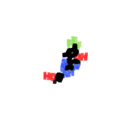 Cc1cc(C(F)(F)F)cc(O)c1-c1nnc(N[C@H]2C[C@@](C)(O)C2)c2cnccc12